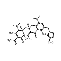 CN(C)c1cc(Cn2ccc(C=O)c2)c(O)c2c1C[C@H]1C[C@H]3[C@H](N(C)C)C(O)=C(C(N)=O)C(=O)[C@@]3(O)C(O)=C1C2=O